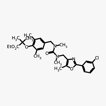 CCOC(=O)C(C)(C)Oc1c(C)cc(CN(C)C(=O)N(C)Cc2nc(-c3cccc(Cl)c3)oc2C)cc1C